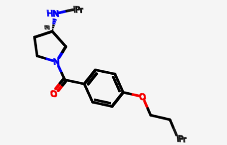 CC(C)CCOc1ccc(C(=O)N2CC[C@H](NC(C)C)C2)cc1